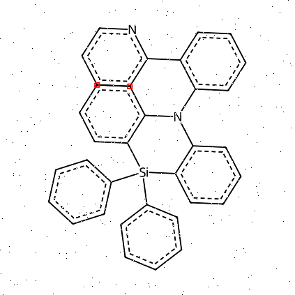 c1ccc([Si]2(c3ccccc3)c3ccccc3N(c3ccccc3-c3ccccn3)c3ccccc32)cc1